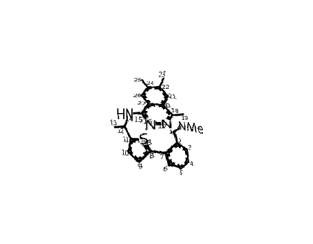 CNCc1ccccc1-c1ccc(C(C)Nc2nnc(C)c3cc(C)c(C)cc23)s1